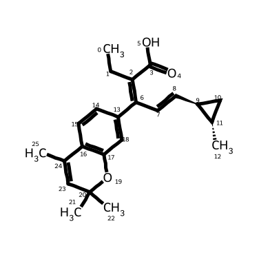 CC/C(C(=O)O)=C(/C=C/[C@H]1C[C@@H]1C)c1ccc2c(c1)OC(C)(C)C=C2C